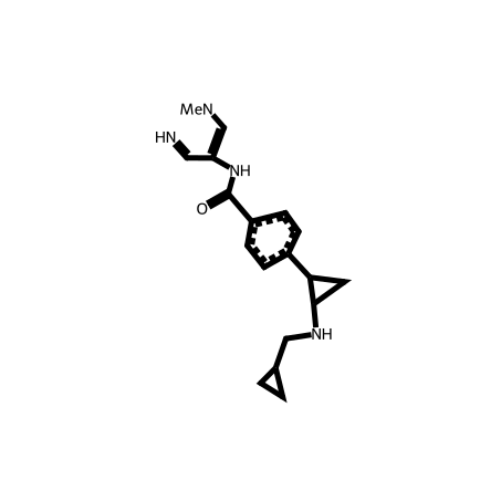 CN/C=C(\C=N)NC(=O)c1ccc(C2CC2NCC2CC2)cc1